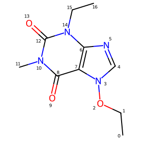 CCOn1cnc2c1c(=O)n(C)c(=O)n2CC